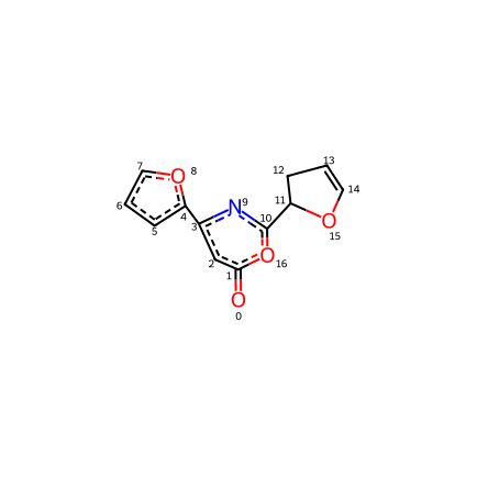 O=c1cc(-c2ccco2)nc(C2CC=CO2)o1